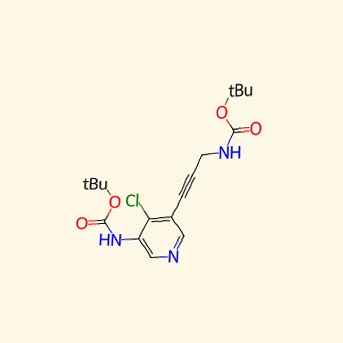 CC(C)(C)OC(=O)NCC#Cc1cncc(NC(=O)OC(C)(C)C)c1Cl